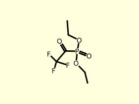 CCOP(=O)(OCC)C(=O)C(F)(F)F